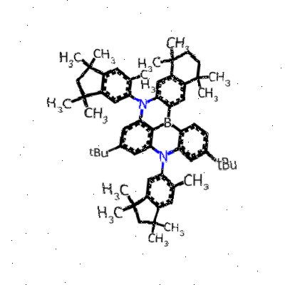 Cc1cc2c(cc1N1c3cc(C(C)(C)C)ccc3B3c4cc5c(cc4N(c4cc6c(cc4C)C(C)(C)CC6(C)C)c4cc(C(C)(C)C)cc1c43)C(C)(C)CCC5(C)C)C(C)(C)CC2(C)C